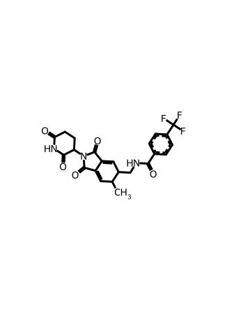 CC1C=C2C(=O)N(C3CCC(=O)NC3=O)C(=O)C2=CC1CNC(=O)c1ccc(C(F)(F)F)cc1